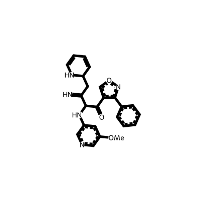 COc1cncc(NC(C(=N)CC2C=CC=CN2)C(=O)c2conc2-c2ccccc2)c1